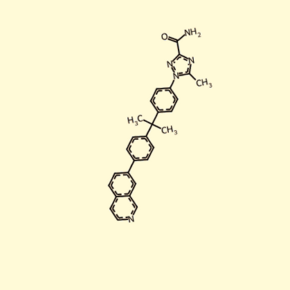 Cc1nc(C(N)=O)nn1-c1ccc(C(C)(C)c2ccc(-c3ccc4ccncc4c3)cc2)cc1